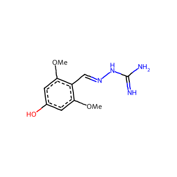 COc1cc(O)cc(OC)c1/C=N/NC(=N)N